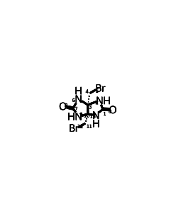 O=C1N[C@]2(CBr)NC(=O)N[C@]2(CBr)N1